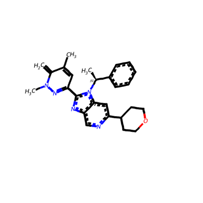 C=C1C(C)=CC(c2nc3cnc(C4CCOCC4)cc3n2[C@@H](C)c2ccccc2)=NN1C